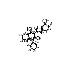 Cc1cccc(NC(=O)c2c(O)c3cccnc3n(-c3ccccc3)c2=O)c1